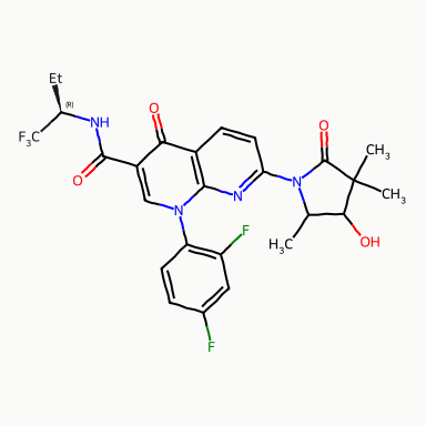 CC[C@@H](NC(=O)c1cn(-c2ccc(F)cc2F)c2nc(N3C(=O)C(C)(C)C(O)C3C)ccc2c1=O)C(F)(F)F